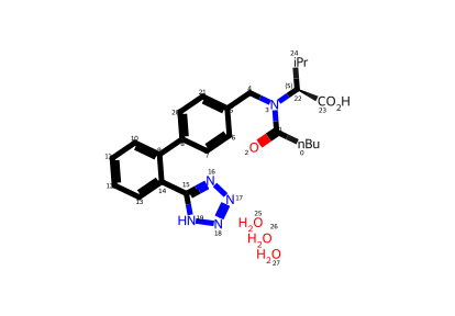 CCCCC(=O)N(Cc1ccc(-c2ccccc2-c2nnn[nH]2)cc1)[C@H](C(=O)O)C(C)C.O.O.O